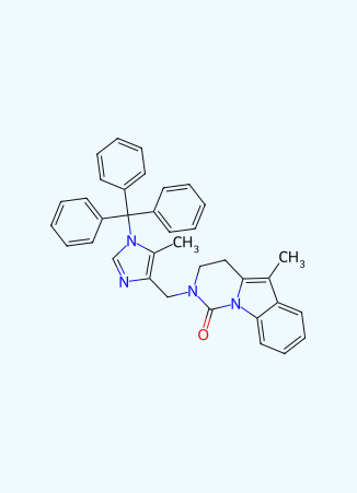 Cc1c2n(c3ccccc13)C(=O)N(Cc1ncn(C(c3ccccc3)(c3ccccc3)c3ccccc3)c1C)CC2